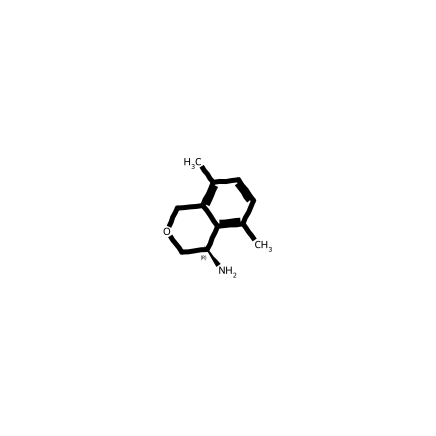 Cc1ccc(C)c2c1COC[C@@H]2N